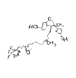 CN(CCCCC[S+]([O-])CCCC(F)(F)C(F)(F)F)CCCC1c2ccc(O)cc2OCC1(C)c1ccc(O)cc1